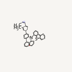 C/C=C\C1=CCC(c2ccc(-c3ccccc3)c(N(c3ccccc3)c3cccc4c3sc3ccccc34)c2)C=C1C